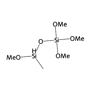 CO[SiH](C)O[Si](OC)(OC)OC